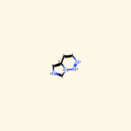 [c]1cnnn2cncc12